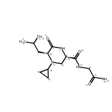 CC(C)C[C@H]1C(=O)N[C@@H](C(=O)NCC(N)=O)CN1C1CC1